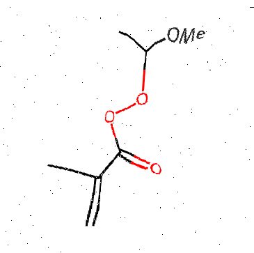 C=C(C)C(=O)OOC(C)OC